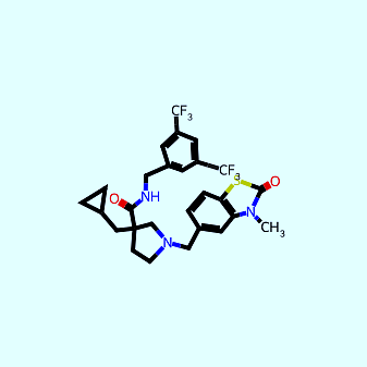 Cn1c(=O)sc2ccc(CN3CCC(CC4CC4)(C(=O)NCc4cc(C(F)(F)F)cc(C(F)(F)F)c4)C3)cc21